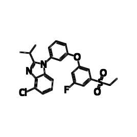 CCS(=O)(=O)c1cc(F)cc(Oc2cccc(-n3c(C(C)C)nc4c(Cl)cccc43)c2)c1